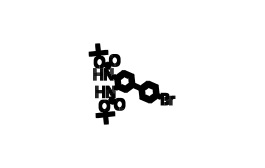 CC(C)(C)OC(=O)Nc1ccc(-c2ccc(Br)cc2)cc1NC(=O)OC(C)(C)C